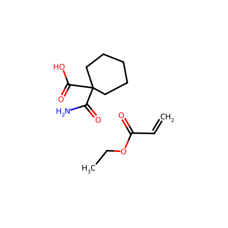 C=CC(=O)OCC.NC(=O)C1(C(=O)O)CCCCC1